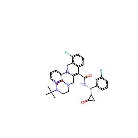 CC(C)(C)N1CCN(CC2=C(C(=O)N[C@H](c3cccc(F)c3)C3CC3=O)c3cccc(F)c3CN2c2cccnc2)CC1